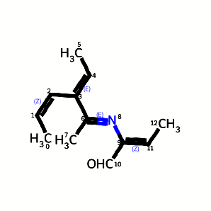 C\C=C/C(=C\C)C(/C)=N/C(C=O)=C\C